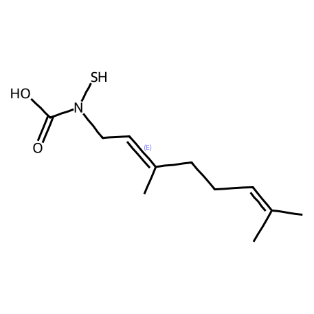 CC(C)=CCC/C(C)=C/CN(S)C(=O)O